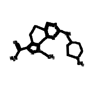 CN1CCC(Nc2ncc3c(n2)-c2c(c(C(N)=O)nn2C)CC3)CC1